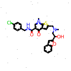 CN(Cc1cc2c(=O)c(C(=O)NCc3ccc(Cl)cc3)cn(C)c2s1)CC(O)c1cc2ccccc2o1